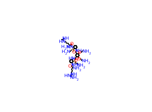 CC(=N)NCCC[C@@H](N)C(=O)Nc1cccc(NC(=O)c2cc(C(=O)Nc3cccc(NC(=O)[C@H](N)CCCNC(=N)N)c3SCCN)c(OCCN)cc2OCCN)c1SCCN